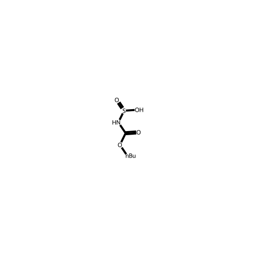 CCCCOC(=O)NS(=O)O